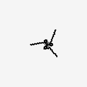 CCCCCCCCCCCCc1ccccc1[O][Bi]([O]c1ccccc1CCCCCCCCCCCC)[O]c1ccccc1CCCCCCCCCCCC